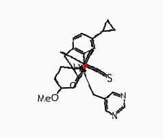 COC1CCC2(CC1)Cc1ccc(C3CC3)cc1C21NC(=S)N(Cc2cncnc2)C1=O